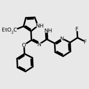 CCOC(=O)c1cc[nH]c1/C(=N\C(=N)c1cccc(C(F)F)n1)Oc1ccccc1